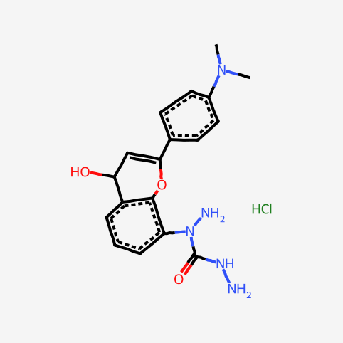 CN(C)c1ccc(C2=CC(O)c3cccc(N(N)C(=O)NN)c3O2)cc1.Cl